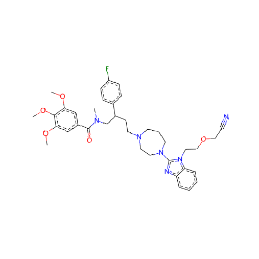 COc1cc(C(=O)N(C)CC(CCN2CCCN(c3nc4ccccc4n3CCOCC#N)CC2)c2ccc(F)cc2)cc(OC)c1OC